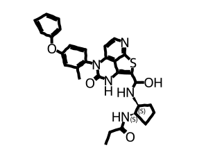 CCC(=O)N[C@H]1CCC[C@@H]1NC(O)c1sc2nccc3c2c1NC(=O)N3c1ccc(Oc2ccccc2)cc1C